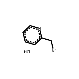 BrCc1ccccn1.Cl